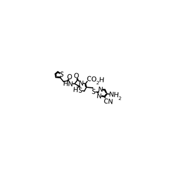 N#Cc1nc(SCC2=C(C(=O)O)N3C(=O)C(NC(=O)Cc4cccs4)[C@H]3SC2)ncc1N